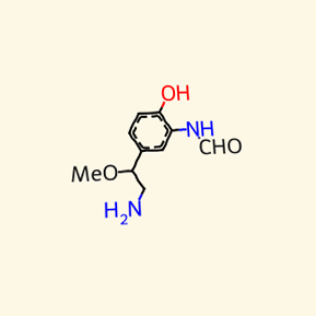 COC(CN)c1ccc(O)c(NC=O)c1